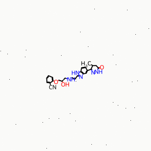 CC1CC(=O)NN=C1c1ccc2[nH]c(CCNCC(O)COc3ccccc3C#N)nc2c1